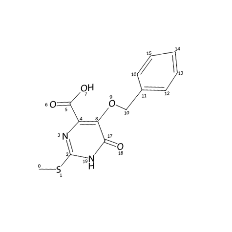 CSc1nc(C(=O)O)c(OCc2ccccc2)c(=O)[nH]1